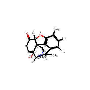 [2H]c1c([2H])c2c3c(c1OC)OC1([2H])C(=O)CC[C@]4(O)[C@@]31CCN(C)[C@]4([2H])C2([2H])[2H]